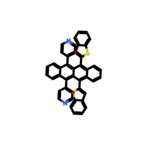 c1ccc2sc(-c3c4ccccc4c(-c4cc5ccccc5s4)c4c(-c5ccncc5)c5ccccc5c(-c5ccncc5)c34)cc2c1